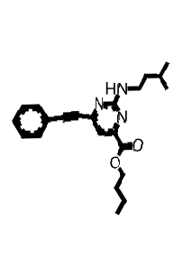 CCCCOC(=O)c1cc(C#Cc2ccccc2)nc(NCCC(C)C)n1